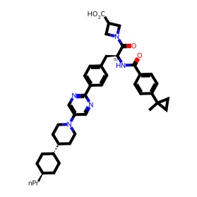 CCC[C@H]1CC[C@H](C2CCN(c3cnc(-c4ccc(C[C@H](NC(=O)c5ccc(C6(C)CC6)cc5)C(=O)N5CC(C(=O)O)C5)cc4)nc3)CC2)CC1